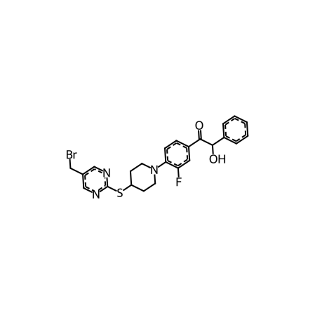 O=C(c1ccc(N2CCC(Sc3ncc(CBr)cn3)CC2)c(F)c1)C(O)c1ccccc1